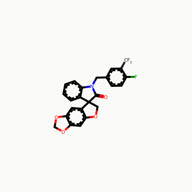 O=C1N(Cc2ccc(F)c(C(F)(F)F)c2)c2ccccc2C12COc1cc3c(cc12)OCO3